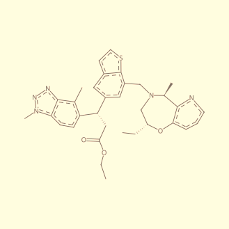 CCOC(=O)C[C@@H](c1cc(CN2C[C@@H](CC)Oc3cccnc3[C@@H]2C)c2sccc2c1)c1ccc2c(nnn2C)c1C